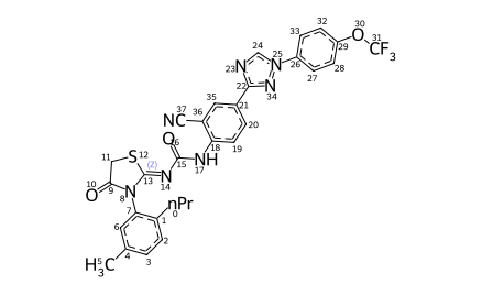 CCCc1ccc(C)cc1N1C(=O)CS/C1=N\C(=O)Nc1ccc(-c2ncn(-c3ccc(OC(F)(F)F)cc3)n2)cc1C#N